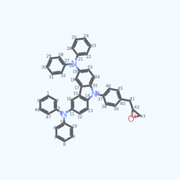 c1ccc(N(c2ccccc2)c2ccc3c(c2)c2cc(N(c4ccccc4)c4ccccc4)ccc2n3-c2ccc(CC3CO3)cc2)cc1